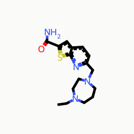 CCN1CCCN(Cc2ccc3cc(C(N)=O)sc3n2)CC1